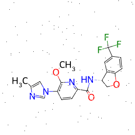 COc1nc(C(=O)N[C@H]2COc3ccc(C(F)(F)F)cc32)ccc1-n1cnc(C)c1